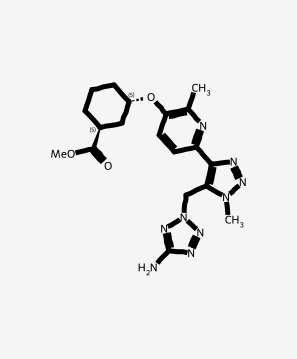 COC(=O)[C@H]1CCC[C@H](Oc2ccc(-c3nnn(C)c3Cn3nnc(N)n3)nc2C)C1